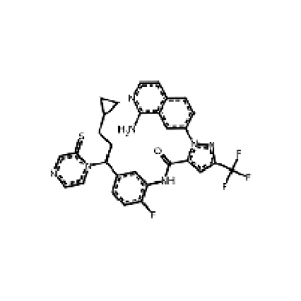 Nc1nccc2ccc(-n3nc(C(F)(F)F)cc3C(=O)Nc3cc(C(CCC4CC4)n4ccncc4=S)ccc3F)cc12